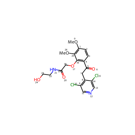 COc1ccc(C(=O)Cc2c(Cl)cncc2Cl)c(OCC(=O)NCCO)c1OC